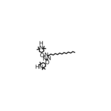 CCCCCCCCCCCCc1nc(OC2CC(C)(C)NC(C)(C)C2)nc(OC2CC(C)(C)NC(C)(C)C2)n1